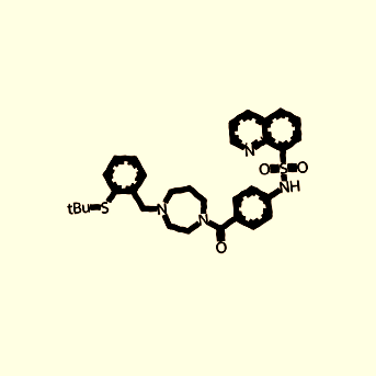 CC(C)(C)Sc1ccccc1CN1CCCN(C(=O)c2ccc(NS(=O)(=O)c3cccc4cccnc34)cc2)CC1